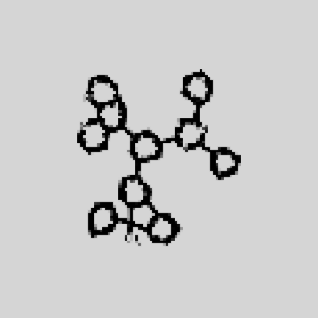 CC1(c2ccccc2)c2ccccc2-c2cc(-c3cc(-c4nc(-c5ccccc5)nc(-c5ccccc5)n4)cc(-c4cc5cccnc5c5ncccc45)c3)ccc21